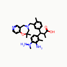 Cc1ccc(C(c2ccc(N(C)N)c(N)c2C)C(C)C(=O)O)cc1CN1Cc2cnccc2OC(C)(C)C1